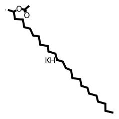 [CH2]C(CCCCCCCCCCCCCCCCCCCCCCCC)OC(C)=O.[KH]